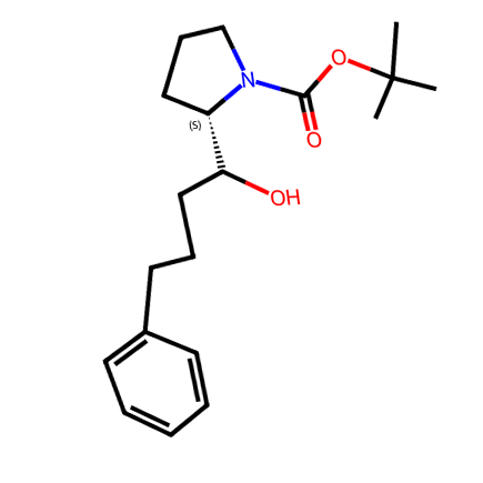 CC(C)(C)OC(=O)N1CCC[C@H]1C(O)CCCc1ccccc1